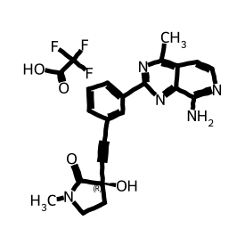 Cc1nc(-c2cccc(C#C[C@]3(O)CCN(C)C3=O)c2)nc2c(N)nccc12.O=C(O)C(F)(F)F